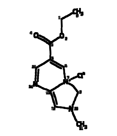 CCOC(=O)C1=C[N+]2(Cl)CN(C)C=C2N=C1